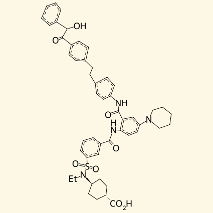 CCN([C@H]1CC[C@H](C(=O)O)CC1)S(=O)(=O)c1cccc(C(=O)Nc2ccc(N3CCCCC3)cc2C(=O)Nc2ccc(CCc3ccc(C(=O)C(O)c4ccccc4)cc3)cc2)c1